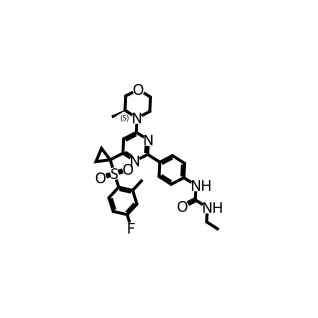 CCNC(=O)Nc1ccc(-c2nc(N3CCOC[C@@H]3C)cc(C3(S(=O)(=O)c4ccc(F)cc4C)CC3)n2)cc1